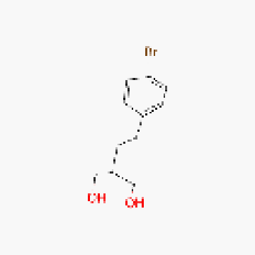 OCC(CO)CCc1ccc(Br)cc1